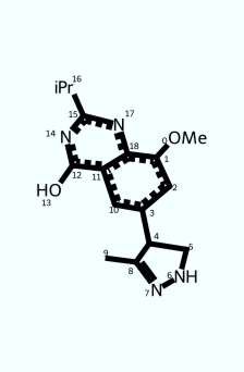 COc1cc(C2CNN=C2C)cc2c(O)nc(C(C)C)nc12